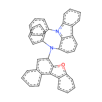 c1ccc(N(c2cc3ccccc3c3c2oc2ccccc23)c2cccc3c4ccccc4n(-c4ccccc4)c23)cc1